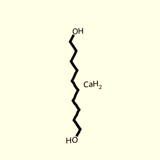 OCCCCCCCCCCO.[CaH2]